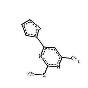 CCCSc1nc(-c2cccs2)cc(C(F)(F)F)n1